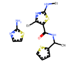 CCNc1nc(CC)c(C(=O)NC(C#N)c2cccs2)s1.Nc1nccs1